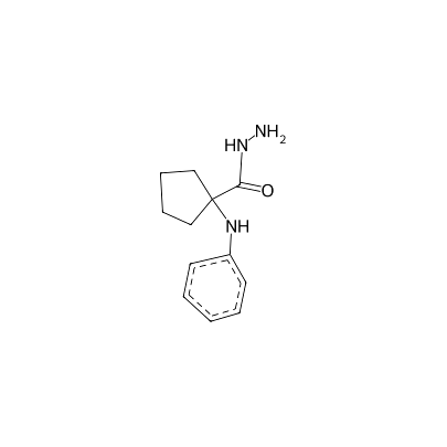 NNC(=O)C1(Nc2ccccc2)CCCC1